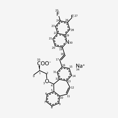 C[C@H](COC1c2ccccc2C=Cc2ccc(C=Cc3ccc4cc(F)c(F)cc4n3)cc21)C(=O)[O-].[Na+]